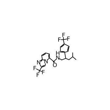 CC(C)CC(CNC(=O)c1cccc2nc(C(F)(F)F)cn12)c1ccc(C(F)(F)F)cc1